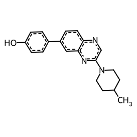 CC1CCN(c2cnc3ccc(-c4ccc(O)cc4)cc3n2)CC1